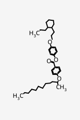 CCCCCCCCCCC(C)Oc1ccc(C(=O)Oc2ccc(OCCCC3CCCCC3CCC)cc2)cc1